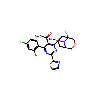 COC(=O)c1c(CN2C3COC[C@H]2CC(NC(C)=O)C3)nc(-c2nccs2)nc1-c1ccc(F)cc1Cl